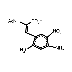 CC(=O)NC(=Cc1cc([N+](=O)[O-])c(N)cc1C)C(=O)O